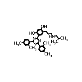 Cc1ccc(-c2nc(-c3ccc(C)cc3C)nc(-c3cc(CCCNCC(C)C)c(O)cc3O)n2)c(C)c1